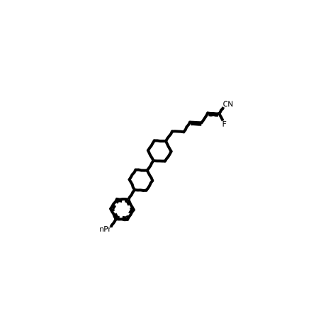 CCCc1ccc(C2CCC(C3CCC(CCC=CC=C(F)C#N)CC3)CC2)cc1